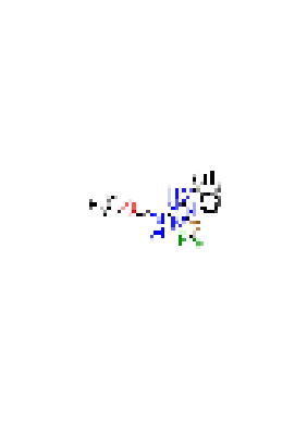 CCOCCNc1nc(NC(C)c2ccccc2)nc(SC(F)F)n1